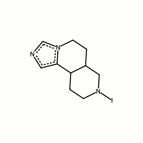 IN1CCC2c3cncn3CCC2C1